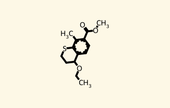 CCOC1CCSc2c1ccc(C(=O)OC)c2C